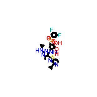 Cc1nc(NC2CC2)nc(N[C@@H]2C[C@H](CS(=O)(=O)c3cc(F)cc(F)c3)[C@@H](O)[C@H]2O)c1-c1nc2c(C3CC3)nccc2s1